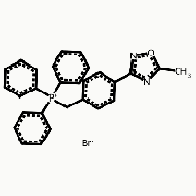 Cc1nc(-c2ccc(C[P+](c3ccccc3)(c3ccccc3)c3ccccc3)cc2)no1.[Br-]